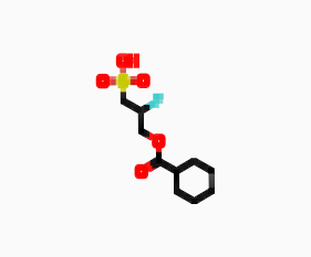 O=C(OCC(F)CS(=O)(=O)O)C1CCCCC1